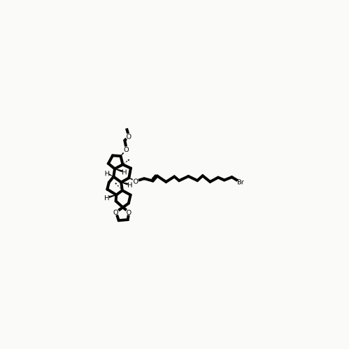 COCO[C@H]1CC[C@H]2[C@@H]3CC[C@H]4CC5(CC[C@]4(C)[C@H]3[C@@H](OCC=CCCCCCCCCCCBr)C[C@]12C)OCCO5